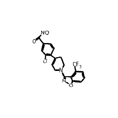 O=NC(=O)c1ccc(C2=CCN(c3noc4cccc(C(F)(F)F)c34)CC2)c(Cl)c1